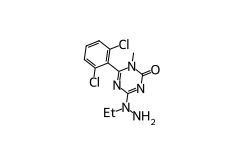 CCN(N)c1nc(-c2c(Cl)cccc2Cl)n(C)c(=O)n1